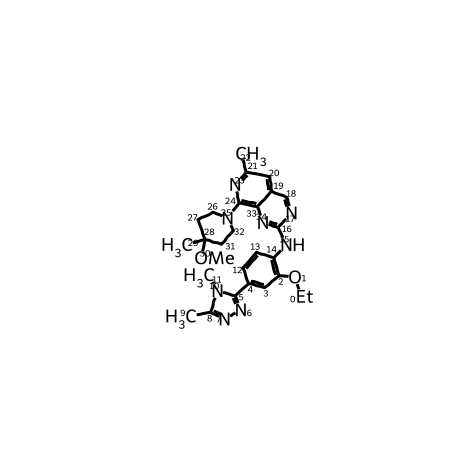 CCOc1cc(-c2nnc(C)n2C)ccc1Nc1ncc2cc(C)nc(N3CCC(C)(OC)CC3)c2n1